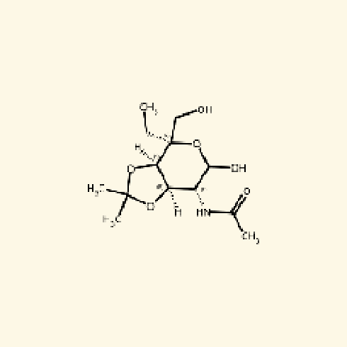 CC[C@]1(CO)OC(O)[C@H](NC(C)=O)[C@H]2OC(C)(C)O[C@H]21